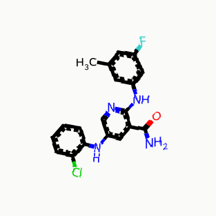 Cc1cc(F)cc(Nc2ncc(Nc3ccccc3Cl)cc2C(N)=O)c1